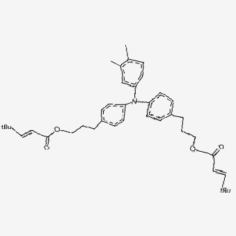 Cc1ccc(N(c2ccc(CCCOC(=O)/C=C/C(C)(C)C)cc2)c2ccc(CCCOC(=O)/C=C/C(C)(C)C)cc2)cc1C